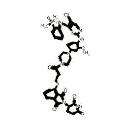 COc1cc(N2CCN(C(=O)CCSc3cccc4c3C(=O)N(C3CCC(=O)NC3=O)C4=O)CC2)ccc1Nc1ncc(Cl)c(Nc2ccccc2P(C)(C)=O)n1